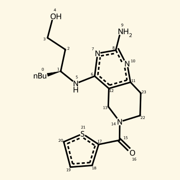 CCCC[C@@H](CCO)Nc1nc(N)nc2c1CN(C(=O)c1cccs1)CC2